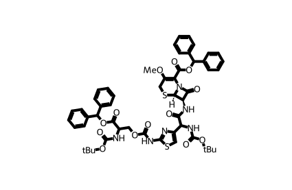 COC1=C(C(=O)OC(c2ccccc2)c2ccccc2)N2C(=O)[C@@H](NC(=O)C(NC(=O)OC(C)(C)C)c3csc(NC(=O)OCC(NC(=O)OC(C)(C)C)C(=O)OC(c4ccccc4)c4ccccc4)n3)[C@H]2SC1